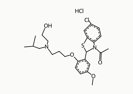 COc1ccc(OCCCN(CCO)CC(C)C)c(C2Sc3cc(Cl)ccc3N2C(C)=O)c1.Cl